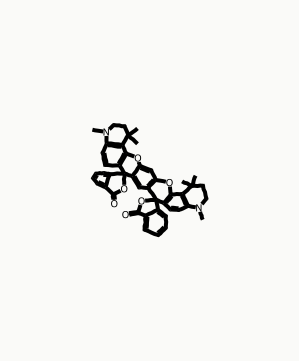 CN1CCC(C)(C)c2c1ccc1c2Oc2cc3c(cc2C12OC(=O)c1ccccc12)C1(OC(=O)c2ccccc21)c1ccc2c(c1O3)C(C)(C)CCN2C